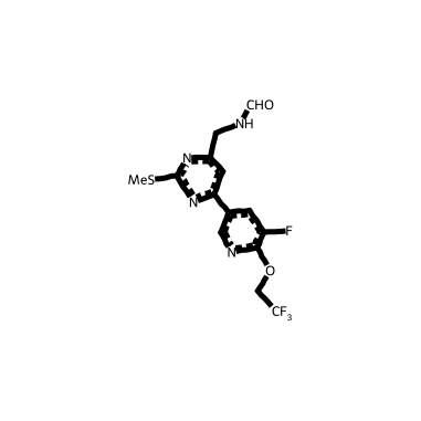 CSc1nc(CNC=O)cc(-c2cnc(OCC(F)(F)F)c(F)c2)n1